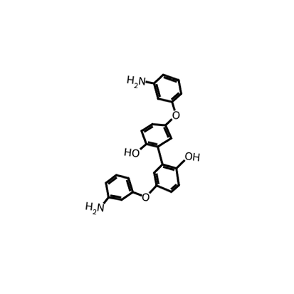 Nc1cccc(Oc2ccc(O)c(-c3cc(Oc4cccc(N)c4)ccc3O)c2)c1